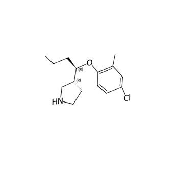 CCC[C@@H](Oc1ccc(Cl)cc1C)[C@@H]1CCNC1